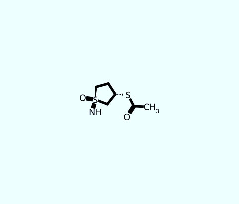 CC(=O)S[C@H]1CC[S@@](=N)(=O)C1